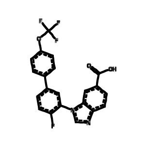 O=C(O)c1ccc2ncn(-c3cc(-c4ccc(OC(F)(F)F)cc4)ccc3F)c2c1